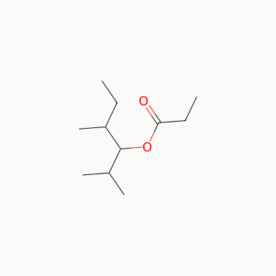 CCC(=O)OC(C(C)C)C(C)CC